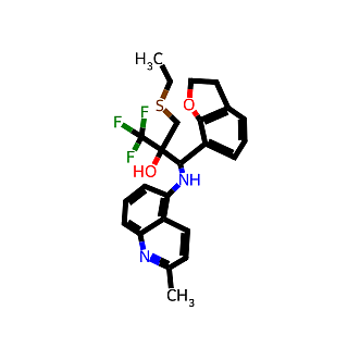 CCSCC(O)(C(Nc1cccc2nc(C)ccc12)c1cccc2c1OCC2)C(F)(F)F